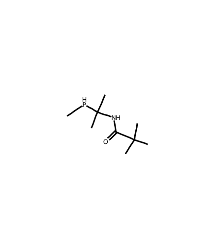 CPC(C)(C)NC(=O)C(C)(C)C